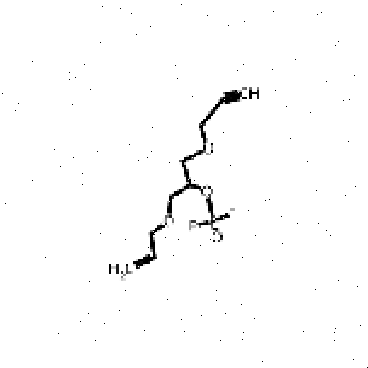 C#CCOCC(COCC=C)OP(=O)(F)F